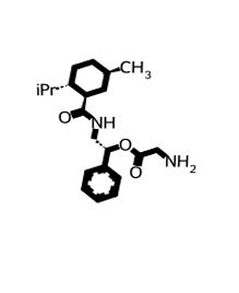 CC(C)[C@@H]1CC[C@@H](C)C[C@H]1C(=O)NC[C@H](OC(=O)CN)c1ccccc1